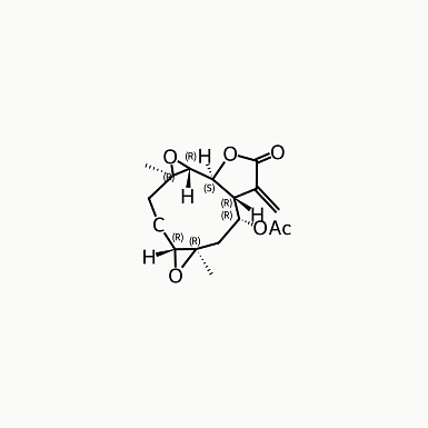 C=C1C(=O)O[C@H]2[C@H]1[C@H](OC(C)=O)C[C@@]1(C)O[C@@H]1CC[C@@]1(C)O[C@H]21